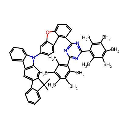 Bc1c(B)c(B)c(-c2nc(-c3c(B)c(B)c(B)c(B)c3B)nc(-c3cccc4oc5cc(-n6c7ccccc7c7cc8c(cc76)C(C)(C)c6ccccc6-8)ccc5c34)n2)c(B)c1B